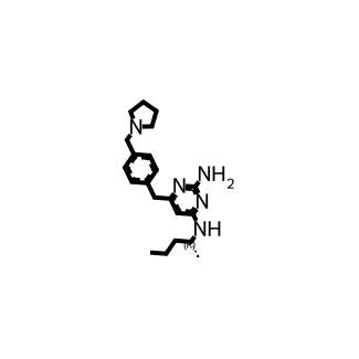 CCC[C@@H](C)Nc1cc(Cc2ccc(CN3CCCC3)cc2)nc(N)n1